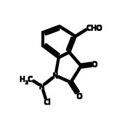 CN(Cl)N1C(=O)C(=O)c2c(C=O)cccc21